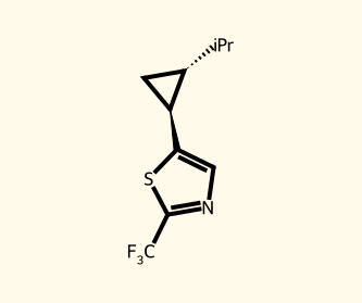 CC(C)[C@H]1C[C@@H]1c1cnc(C(F)(F)F)s1